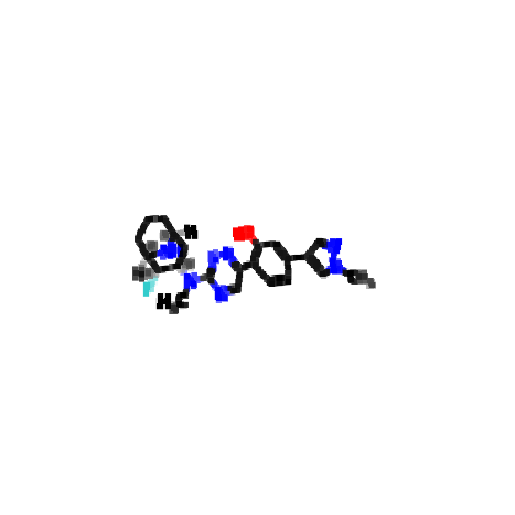 CN(c1ncc(-c2ccc(-c3cnn(C)c3)cc2O)nn1)[C@H]1C[C@@H]2CCC[C@@H](N2)[C@H]1F